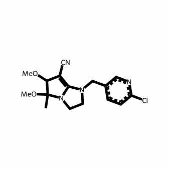 COC1C(C#N)=C2N(Cc3ccc(Cl)nc3)CCN2C1(C)OC